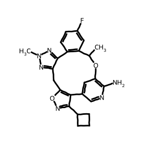 CC1Oc2cc(cnc2N)-c2c(C3CCC3)noc2Cc2nn(C)nc2-c2ccc(F)cc21